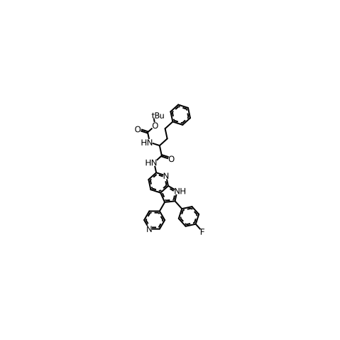 CC(C)(C)OC(=O)NC(CCc1ccccc1)C(=O)Nc1ccc2c(-c3ccncc3)c(-c3ccc(F)cc3)[nH]c2n1